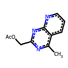 CC(=O)OCc1nc(C)c2cccnc2n1